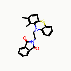 Cc1ccc2c(c1C)N(CCN1C(=O)c3ccccc3C1=O)c1ccccc1S2